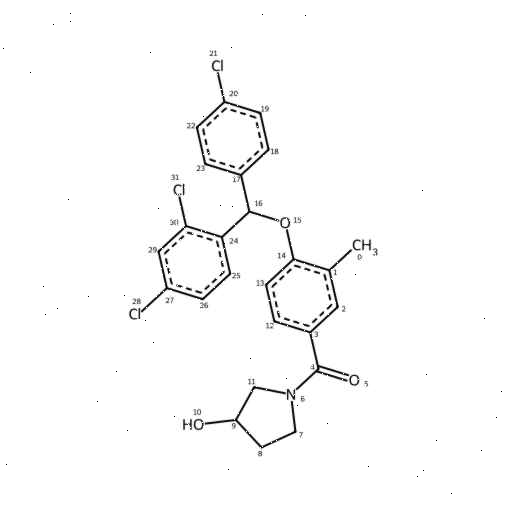 Cc1cc(C(=O)N2CCC(O)C2)ccc1OC(c1ccc(Cl)cc1)c1ccc(Cl)cc1Cl